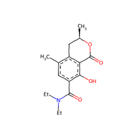 CCN(CC)C(=O)c1cc(C)c2c(c1O)C(=O)O[C@H](C)C2